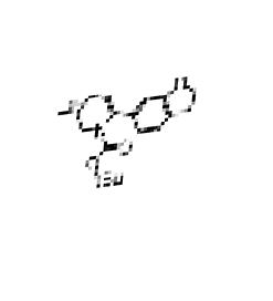 C[C@H]1CC=C(c2ccc3c(c2)OCC3)N(C(=O)OC(C)(C)C)C1